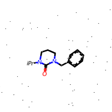 CC(C)N1CCCN(Cc2ccccc2)C1=O